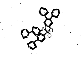 O=P1(c2ccc(-c3ccccc3)cc2)Oc2cc(-c3ccccc3)c(-c3ccccc3)cc2N1c1ccc(-c2ccccc2)cc1